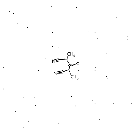 CC(C#N)[P](=O)C(C)C#N